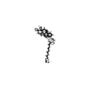 CC(C)SCCCCCCCCC(=O)OC(C)[C@H]1CC[C@H]2[C@@H]3CC[C@H]4N(C)C(=O)CC[C@]4(C)[C@H]3CC[C@]12C